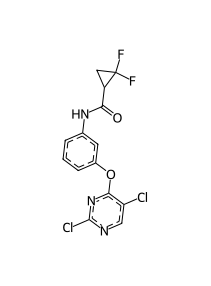 O=C(Nc1cccc(Oc2nc(Cl)ncc2Cl)c1)C1CC1(F)F